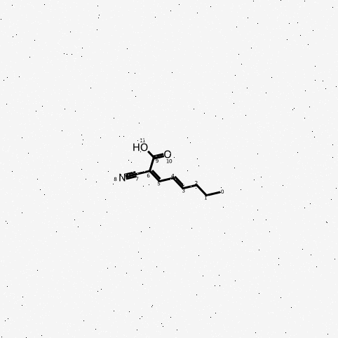 CCCC=CC=C(C#N)C(=O)O